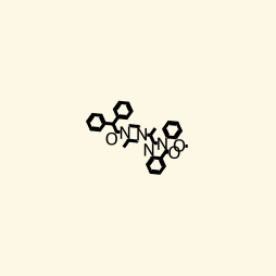 COc1ccccc1-n1c(C(C)N2CCN(C(=O)C(c3ccccc3)c3ccccc3)C(C)C2)nc2ccccc2c1=O